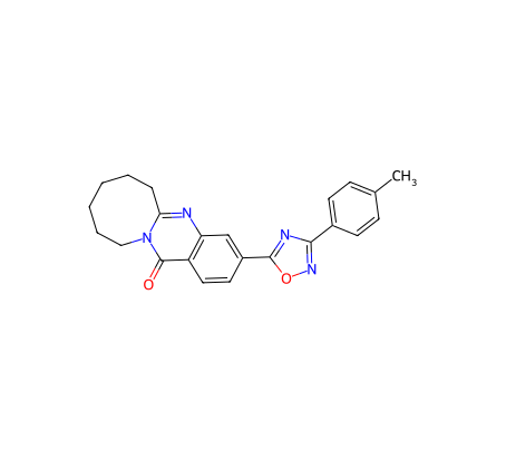 Cc1ccc(-c2noc(-c3ccc4c(=O)n5c(nc4c3)CCCCCC5)n2)cc1